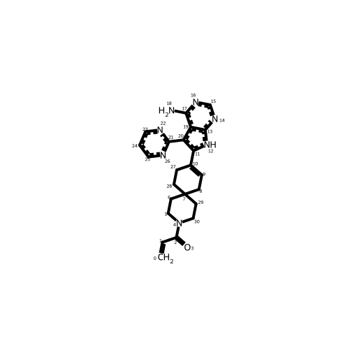 C=CC(=O)N1CCC2(CC=C(c3[nH]c4ncnc(N)c4c3-c3ncccn3)CC2)CC1